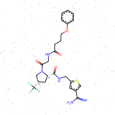 N=C(N)c1csc(CNC(=O)[C@@H]2C[C@H](C(F)(F)F)CN2C(=O)CNC(=O)CCCOc2ccccc2)c1